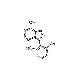 N#Cc1cccc(C#N)c1-n1ncc2c(O)ncnc21